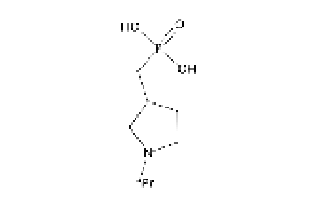 [CH2]CCN1CCC(CP(=O)(O)O)C1